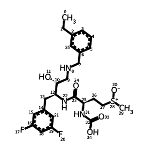 CCc1cccc(CNC[C@@H](O)[C@H](Cc2cc(F)cc(F)c2)NC(=O)[C@@H](CC[S+](C)[O-])NC(=O)O)c1